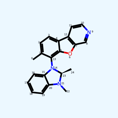 Cc1ccc2c(oc3cnccc32)c1N1c2ccccc2N(C)[C@@H]1C